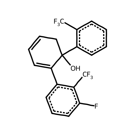 OC1(c2ccccc2C(F)(F)F)CC=CC=C1c1cccc(F)c1C(F)(F)F